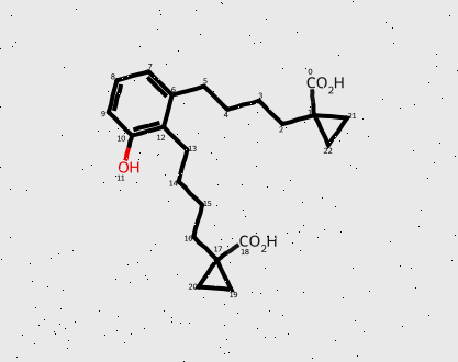 O=C(O)C1(CCCCc2cccc(O)c2CCCCC2(C(=O)O)CC2)CC1